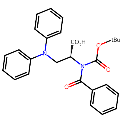 CC(C)(C)OC(=O)N(C(=O)c1ccccc1)[C@@H](CN(c1ccccc1)c1ccccc1)C(=O)O